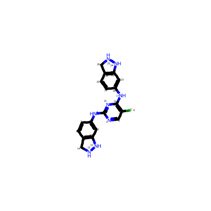 Fc1cnc(Nc2ccc3c(c2)NNC3)nc1Nc1ccc2c(c1)NNC2